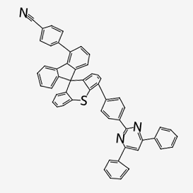 N#Cc1ccc(-c2cccc3c2-c2ccccc2C32c3ccccc3Sc3c(-c4ccc(-c5nc(-c6ccccc6)cc(-c6ccccc6)n5)cc4)cccc32)cc1